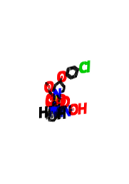 COCCOC(=O)N1[C@@H]2CC[C@H]1[C@H](C(=O)NO)N(S(=O)(=O)N1CCC(Oc3ccc(Cl)cc3)CC1)C2